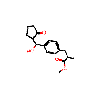 COC(=O)C(C)Cc1ccc(C(O)C2CCCC2=O)cc1